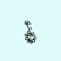 COC(=O)CCCC(=O)c1ccc(NC(=O)c2cccc(S(=O)(=O)N3CCc4ccc(Cl)cc43)c2)c(C(=O)O)c1